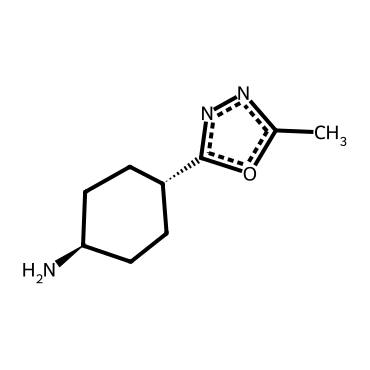 Cc1nnc([C@H]2CC[C@H](N)CC2)o1